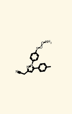 Cc1ccc(-c2cc(CC#N)nn2-c2ccc(SOON)cc2)cc1